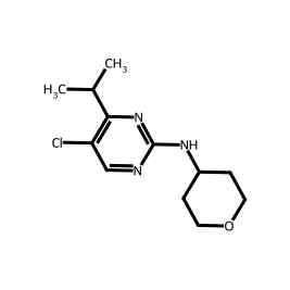 CC(C)c1nc(NC2CCOCC2)ncc1Cl